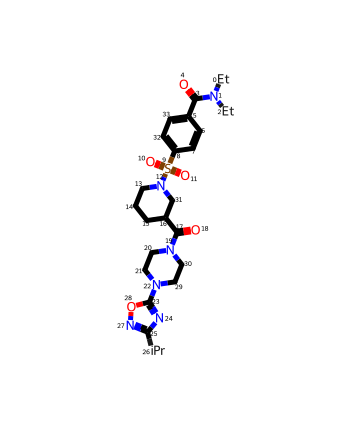 CCN(CC)C(=O)c1ccc(S(=O)(=O)N2CCCC(C(=O)N3CCN(c4nc(C(C)C)no4)CC3)C2)cc1